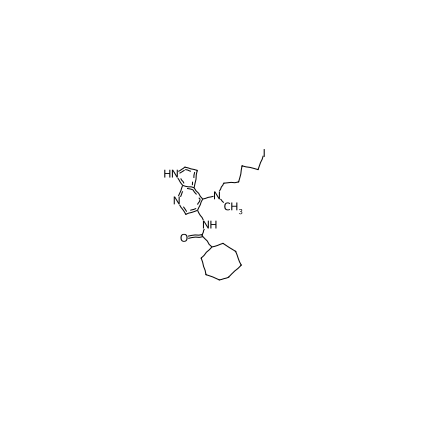 CN(CCCCI)c1c(NC(=O)C2CCCCCCC2)cnc2[nH]ccc12